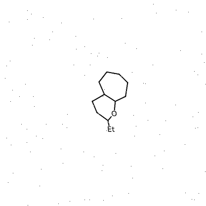 CCC1CCC2CCCCCC2O1